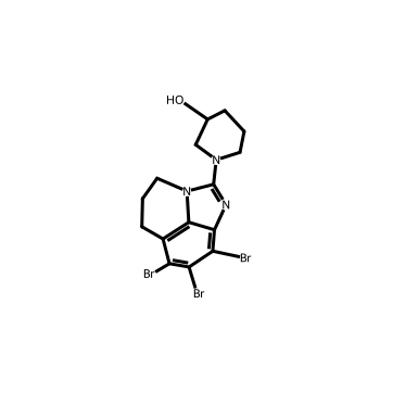 OC1CCCN(c2nc3c(Br)c(Br)c(Br)c4c3n2CCC4)C1